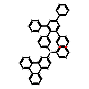 c1ccc(-c2cc(-c3ccccc3)c(-c3cccc(N(c4ccccc4)c4ccc5c6ccccc6c6ccccc6c5c4)c3)c(-c3ccccc3)c2)cc1